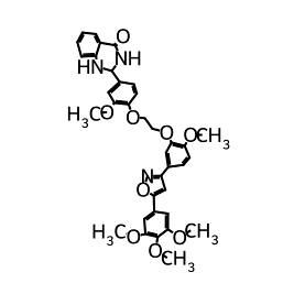 COc1cc(C2NC(=O)c3ccccc3N2)ccc1OCCOc1cc(-c2cc(-c3cc(OC)c(OC)c(OC)c3)on2)ccc1OC